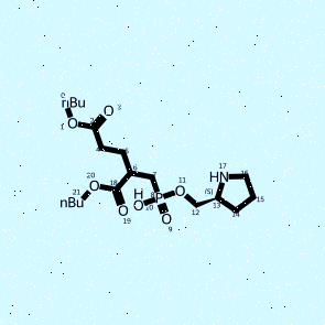 CCCCOC(=O)CCC(CP(=O)(O)OC[C@@H]1CCCN1)C(=O)OCCCC